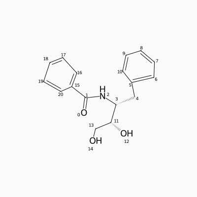 O=C(N[C@H](Cc1ccccc1)[C@H](O)CO)c1ccccc1